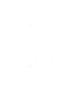 COc1cc(C=Cc2ccc(O)c(NC(=O)/C=C/c3ccc(O)c(O)c3)c2)cc(OC)c1OC